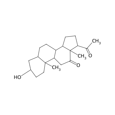 CC(=O)C1CCC2C3CCC4CC(O)CCC4(C)C3CC(=O)C12C